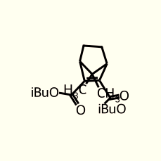 CC(C)COC(=O)C1=C(C(=O)OCC(C)C)C2CCC1C2(C)C